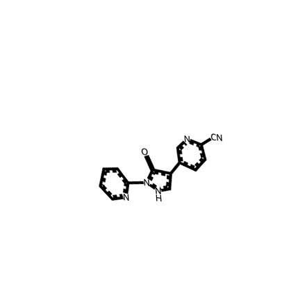 N#Cc1ccc(-c2c[nH]n(-c3ccccn3)c2=O)cn1